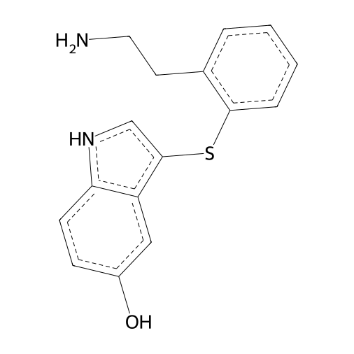 NCCc1ccccc1Sc1c[nH]c2ccc(O)cc12